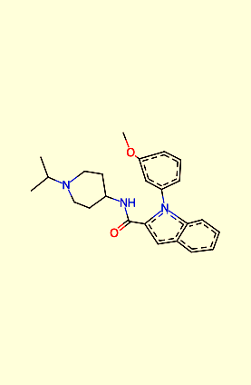 COc1cccc(-n2c(C(=O)NC3CCN(C(C)C)CC3)cc3ccccc32)c1